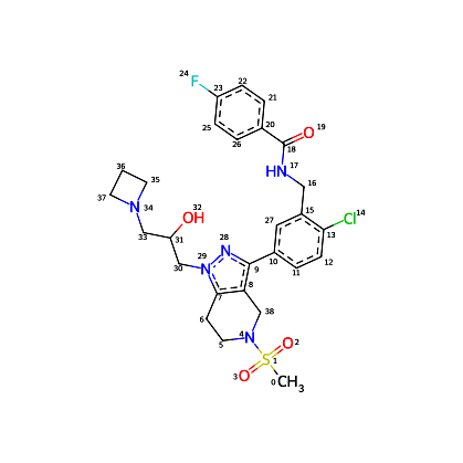 CS(=O)(=O)N1CCc2c(c(-c3ccc(Cl)c(CNC(=O)c4ccc(F)cc4)c3)nn2CC(O)CN2CCC2)C1